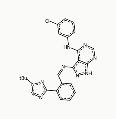 CC(C)(C)n1nnc(-c2ccccc2/C=N\c2n[nH]c3ncnc(Nc4cccc(Cl)c4)c23)n1